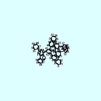 c1ccc(-c2cc(-c3ccccc3)c3c4c(-c5ccccc5)cc(-c5ccccc5)cc4n(-c4c(-c5ccccc5)cc(-c5nc(-c6ccccc6)nc6c5oc5ccccc56)cc4-c4ccccc4)c3c2)cc1